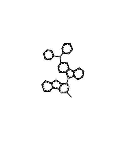 Cc1nc(-n2c3ccccc3c3cc(N(c4ccccc4)c4ccccc4)ccc32)c2oc3ccccc3c2n1